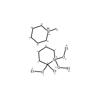 CCOC1(CC)CCCC[Si]1(OCC)OCC.C[SiH]1CCCCC1